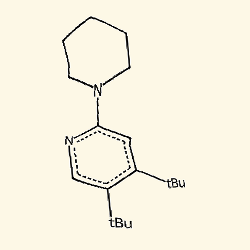 CC(C)(C)c1cnc(N2CCCCC2)cc1C(C)(C)C